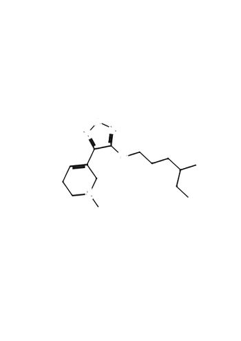 CCC(C)CCCOc1nsnc1C1=CCCN(C)C1